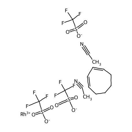 C1=C\CCCC\C=C/1.CC#N.CC#N.O=S(=O)([O-])C(F)(F)F.O=S(=O)([O-])C(F)(F)F.O=S(=O)([O-])C(F)(F)F.[Rh+3]